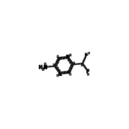 Nc1cnc(C(F)F)cn1